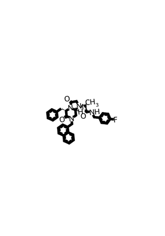 CN(C(=O)NCc1ccc(F)cc1)N1CC(=O)N2[C@@H](Cc3ccccc3)C(=O)N(Cc3cccc4ccccc34)C[C@@H]21